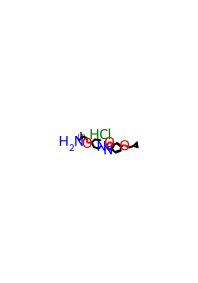 C[C@H](N)COC1CCN(c2nc3ccc(OCC4CC4)cc3o2)CC1.Cl